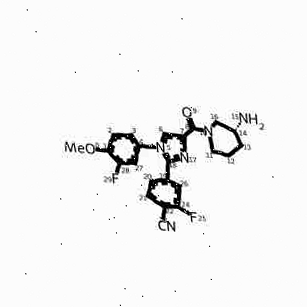 COc1ccc(-n2cc(C(=O)N3CCC[C@@H](N)C3)nc2-c2ccc(C#N)c(F)c2)cc1F